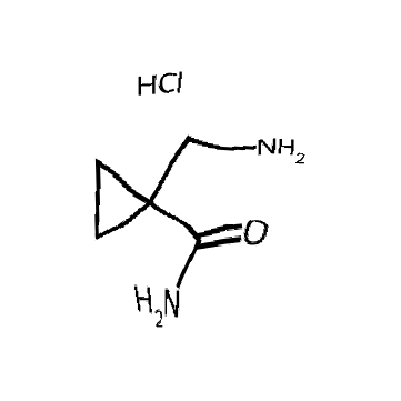 Cl.NCC1(C(N)=O)CC1